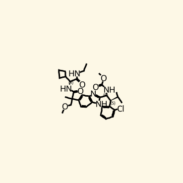 CCNC(=O)[C@H](NC(=O)C(C)(COC)c1ccc2[nH]c([C@@H](NC(=O)OC)[C@H](c3ccccc3Cl)C(C)C)nc2c1)C1CCC1